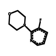 Fc1cccnc1N1CCOCC1